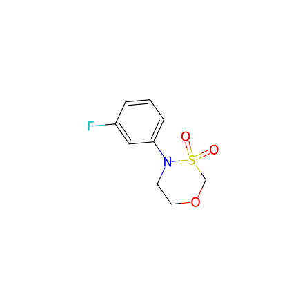 O=S1(=O)COCCN1c1cccc(F)c1